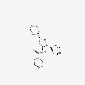 O=C(Nc1cc(-c2ccccc2)nn1-c1ccccc1)C1CCOCC1